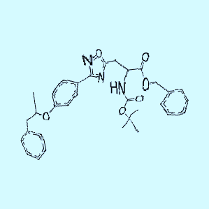 CC(Cc1ccccc1)Oc1ccc(-c2noc(CC(NC(=O)OC(C)(C)C)C(=O)OCc3ccccc3)n2)cc1